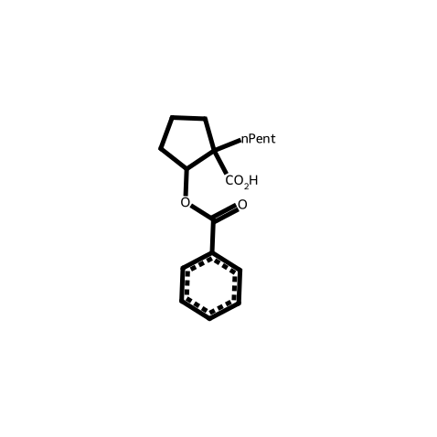 CCCCCC1(C(=O)O)CCCC1OC(=O)c1ccccc1